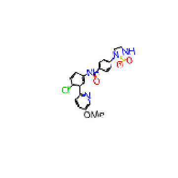 COc1ccc(-c2cc(NC(=O)c3ccc(N4CCNS4(=O)=O)cc3)ccc2Cl)nc1